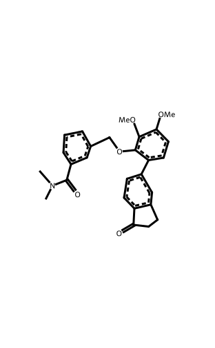 COc1ccc(-c2ccc3c(c2)CCC3=O)c(OCc2cccc(C(=O)N(C)C)c2)c1OC